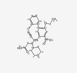 CCOc1cc([N+](=O)[O-])c(C=C(C#N)C(CC(=O)O)C2CCOCC2)cc1-c1ccccc1F